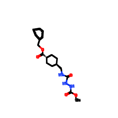 CC(C)(C)OC(=O)NNC(=O)NC[C@H]1CC[C@H](C(=O)OCc2ccccc2)CC1